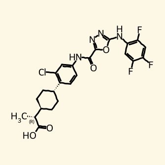 C[C@@H](C(=O)O)[C@H]1CC[C@H](c2ccc(NC(=O)c3nnc(Nc4cc(F)c(F)cc4F)o3)cc2Cl)CC1